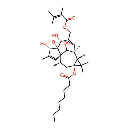 CCCCCCCC(=O)O[C@@]12C[C@@H](C)[C@]34C=C(C)[C@H](O)[C@@]3(O)[C@H](O)C(COC(=O)C(C)=C(C)C)=C[C@H](C4O)[C@@H]1C2(C)C